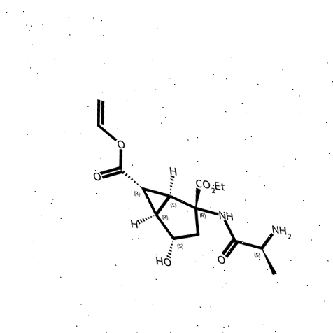 C=COC(=O)[C@H]1[C@H]2[C@@H]1[C@@](NC(=O)[C@H](C)N)(C(=O)OCC)C[C@@H]2O